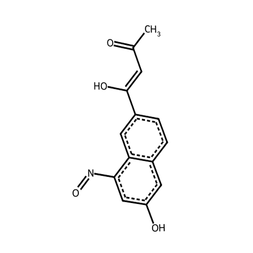 CC(=O)/C=C(\O)c1ccc2cc(O)cc(N=O)c2c1